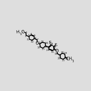 CCCC1C=CC(COC2CCC(c3ccc(OCC4CCC(C)CC4)c(F)c3F)CC2)CC1